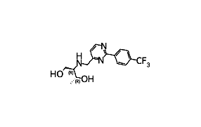 C[C@@H](O)[C@@H](CO)NCc1ccnc(-c2ccc(C(F)(F)F)cc2)n1